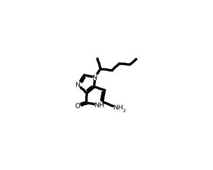 CCCCC(C)n1cnc2c(=O)[nH]c(N)cc21